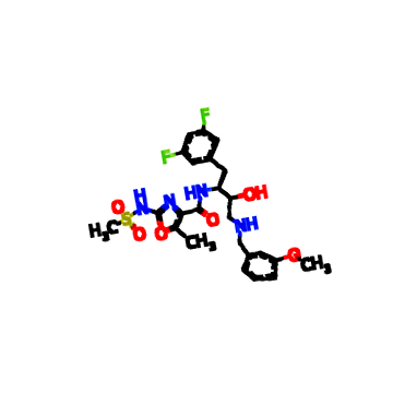 COc1cccc(CNC[C@H](O)[C@H](Cc2cc(F)cc(F)c2)NC(=O)c2nc(NS(C)(=O)=O)oc2C)c1